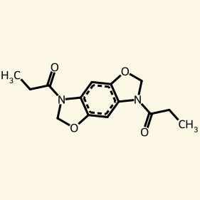 CCC(=O)N1COc2cc3c(cc21)OCN3C(=O)CC